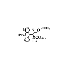 CCOC(=O)OC1=C(COCCN)Nc2ccnc(OC(C)C)c2C1c1ccccc1C(F)(F)F